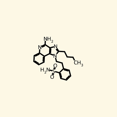 CCCCc1nc2c(N)nc3ccccc3c2n1CCc1ccccc1S(N)(=O)=O